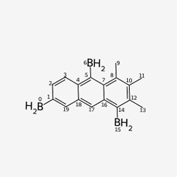 Bc1ccc2c(B)c3c(C)c(C)c(C)c(B)c3cc2c1